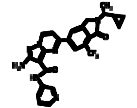 C[C@@H](C1CC1)N1Cc2cc(-c3ccn4nc(N)c(C(=O)Nc5cccnc5)c4n3)cc(C(F)(F)F)c2C1=O